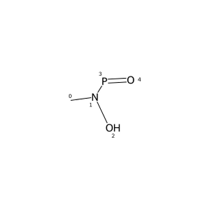 CN(O)P=O